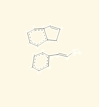 C1=Cc2ccccc2C1.CC=Cc1ccccc1